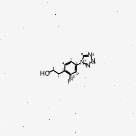 OCCc1ccc(-n2cnnn2)cc1F